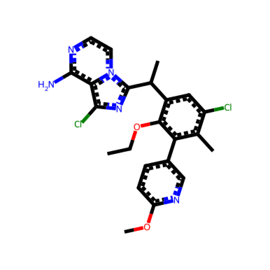 CCOc1c(C(C)c2nc(Cl)c3c(N)nccn23)cc(Cl)c(C)c1-c1ccc(OC)nc1